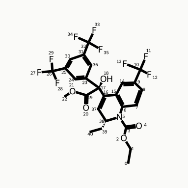 CCOC(=O)N1c2ccc(C(F)(F)F)cc2C([C@](O)(C(=O)OC)c2cc(C(F)(F)F)cc(C(F)(F)F)c2)=C[C@H]1CC